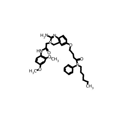 CCCCCCN(C(=O)CCCOc1ccc2c(c1)CN(CC(=O)Nc1ccc(OC)cc1OC)C(N)=N2)c1ccccc1